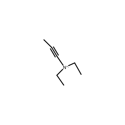 CC#C[N+](CC)CC